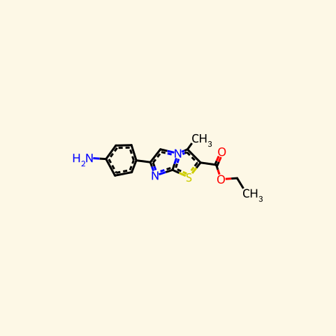 CCOC(=O)c1sc2nc(-c3ccc(N)cc3)cn2c1C